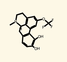 CN1CCc2cc(OC(F)(F)F)cc3c2[C@H]1Cc1ccc(O)c(O)c1-3